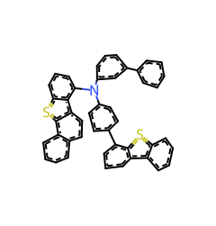 c1ccc(-c2cccc(N(c3ccc(-c4cccc5c4sc4ccccc45)cc3)c3cccc4sc5c6ccccc6ccc5c34)c2)cc1